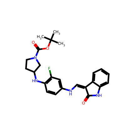 CC(C)(C)OC(=O)N1CCC(Nc2ccc(N/C=C3\C(=O)Nc4ccccc43)cc2F)C1